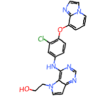 OCCn1ccc2ncnc(Nc3ccc(Oc4cccn5ccnc45)c(Cl)c3)c21